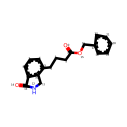 O=C(CCCc1cccc2c1CNC2=O)OCc1ccccc1